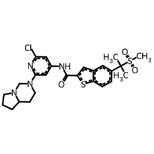 CC(C)(c1ccc2sc(C(=O)Nc3cc(Cl)nc(N4CCC5CCCN5C4)c3)cc2c1)S(C)(=O)=O